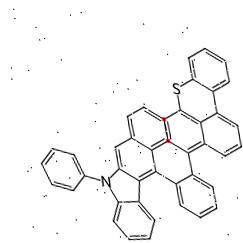 c1ccc(-n2c3ccccc3c3c(-c4ccccc4-c4ccc5c6c(cccc46)-c4ccccc4S5)c4ccccc4cc32)cc1